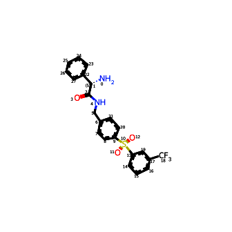 N[C@H](C(=O)NCc1ccc(S(=O)(=O)c2cccc(C(F)(F)F)c2)cc1)c1ccccc1